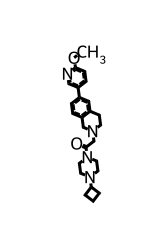 COc1ccc(-c2ccc3c(c2)CCN(CC(=O)N2CCN(C4CCC4)CC2)C3)cn1